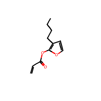 C=CC(=O)Oc1occc1CCCC